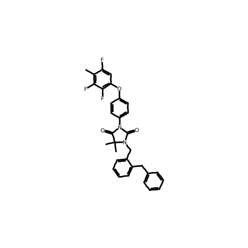 Cc1c(F)cc(Oc2ccc(N3C(=O)N(Cc4ccccc4Cc4ccccc4)C(C)(C)C3=O)cc2)c(F)c1F